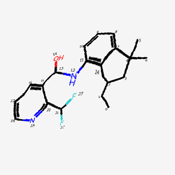 CCC1CC(C)(C)c2cccc(NC(O)c3cccnc3C(F)F)c21